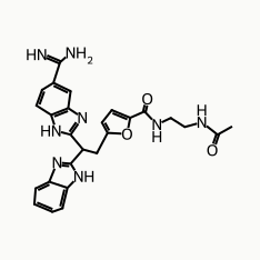 CC(=O)NCCNC(=O)c1ccc(CC(c2nc3ccccc3[nH]2)c2nc3cc(C(=N)N)ccc3[nH]2)o1